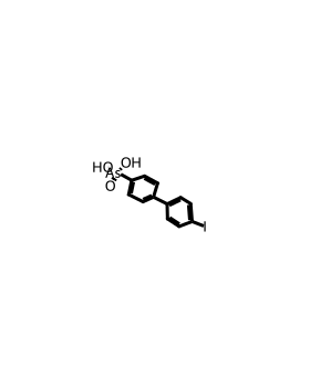 O=[As](O)(O)c1ccc(-c2ccc(I)cc2)cc1